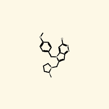 COc1ccc(Cn2c(CN3CCC[C@@H]3C)cc3nnc(Cl)cc32)cc1